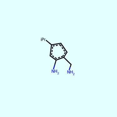 CC(C)c1ccc(CN)c(N)c1